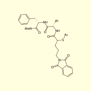 CNC(=O)[C@H](Cc1ccccc1)NC(=O)[C@@H](NC(=O)C(CCCN1C(=O)c2ccccc2C1=O)SC(C)=O)C(C)C